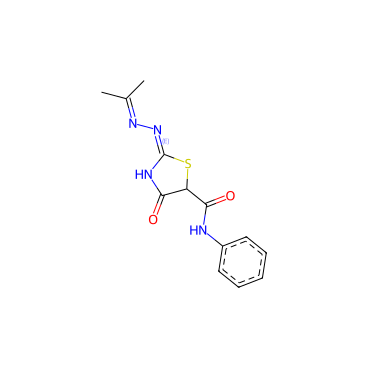 CC(C)=N/N=C1\NC(=O)C(C(=O)Nc2ccccc2)S1